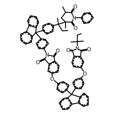 CCC(C)(C)N1C(=O)c2ccc(Oc3ccc(C4(c5ccc(Oc6ccc7c(c6)C(=O)N(c6ccc(C8(c9ccc(C(C)(CC)C%10(C)CC(C)C(=O)N(c%11ccccc%11)C%10=O)cc9)c9ccccc9-c9ccccc98)cc6)C7=O)cc5)c5ccccc5-c5ccccc54)cc3)cc2C1=O